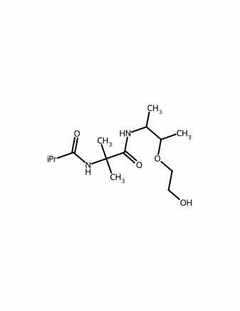 CC(C)C(=O)NC(C)(C)C(=O)NC(C)C(C)OCCO